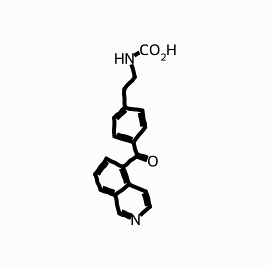 O=C(O)NCCc1ccc(C(=O)c2cccc3cnccc23)cc1